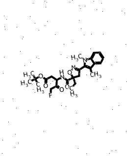 CCC1(C(=O)NC(CC(=O)OC(C)(C)C)C(=O)CF)CC(c2c(C)c3ccccc3n2C)=NO1